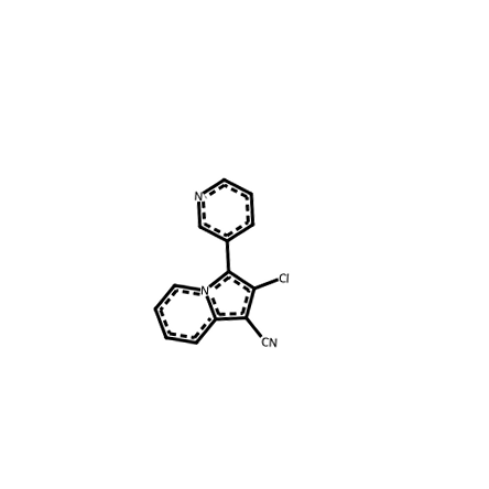 N#Cc1c(Cl)c(-c2cccnc2)n2ccccc12